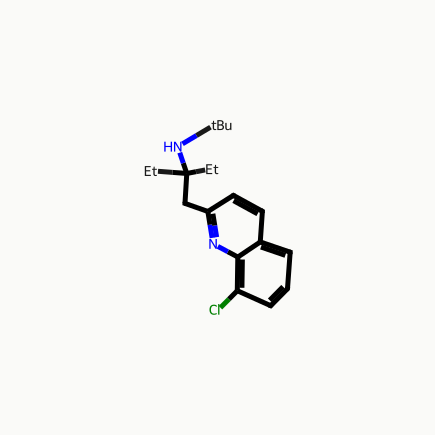 CCC(CC)(Cc1ccc2cccc(Cl)c2n1)NC(C)(C)C